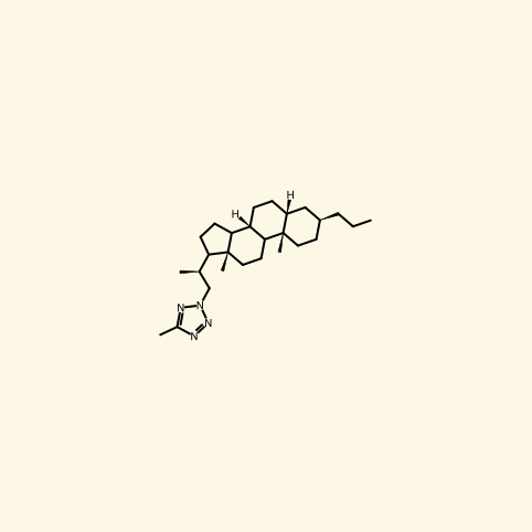 CCC[C@H]1CC[C@]2(C)C3CC[C@@]4(C)C(CCC4[C@H](C)Cn4nnc(C)n4)[C@@H]3CC[C@@H]2C1